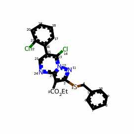 CCOC(=O)c1c(SCc2ccccc2)nn2c(Cl)c(-c3ccccc3Cl)cnc12